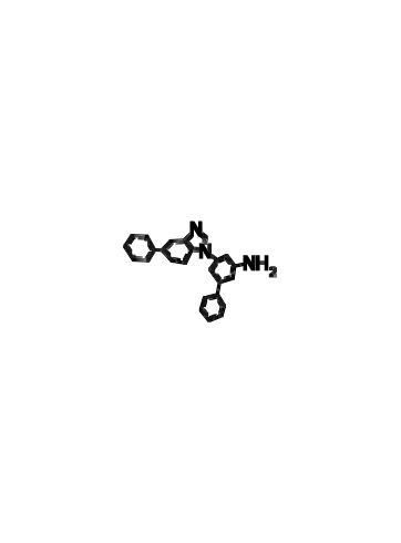 Nc1cc(-c2ccccc2)cc(-n2cnc3cc(-c4ccccc4)ccc32)c1